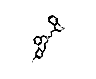 Ic1ccc(/C=C/CN(CCc2c[nH]c3ccccc23)Cc2ccccc2)cc1